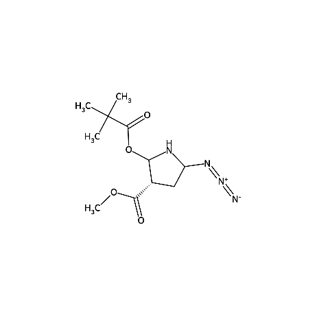 COC(=O)[C@H]1CC(N=[N+]=[N-])NC1OC(=O)C(C)(C)C